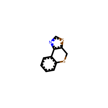 c1ccc2c(c1)SCc1scnc1-2